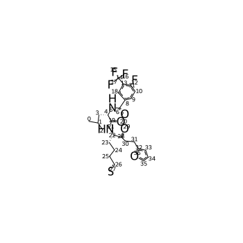 CC(C)C[C@H](NC(=O)c1ccc(F)c(C(F)(F)F)c1)C(=O)N[C@@H](CCCC=S)C(=O)CCc1ccco1